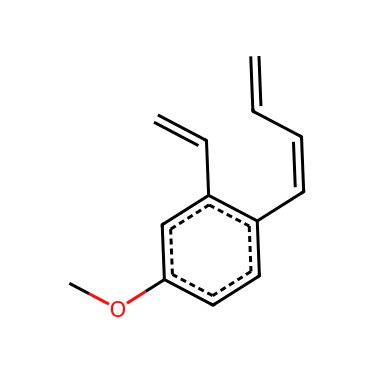 C=C/C=C\c1ccc(OC)cc1C=C